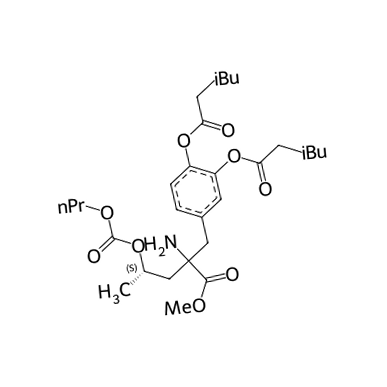 CCCOC(=O)O[C@@H](C)CC(N)(Cc1ccc(OC(=O)CC(C)CC)c(OC(=O)CC(C)CC)c1)C(=O)OC